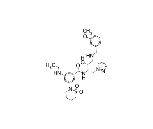 CCNc1cc(C(=O)N[C@@H](Cn2cccn2)[C@H](O)CNCc2cccc(OC)c2)cc(N2CCCCS2(=O)=O)c1